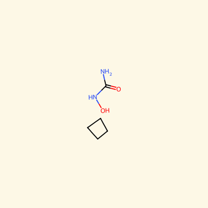 C1CCC1.NC(=O)NO